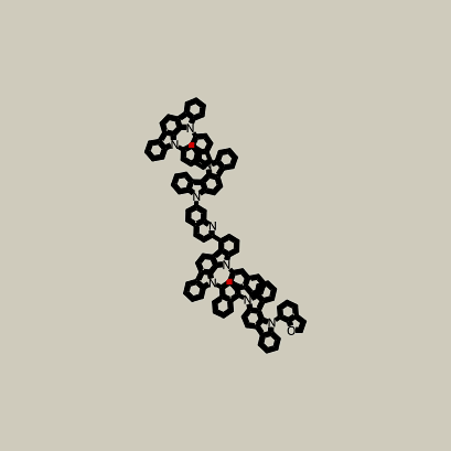 C1=Cc2ccc(-n3c4ccccc4c4ccc5c6ccccc6n(-c6ccc(-n7c8ccccc8c8ccc9c(c%10ccccc%10n9-c9ccc%10ccc(-c%11cccc%12c%11c%11ccc%13c%14ccccc%14n(-c%14ccc(-n%15c%16ccccc%16c%16c%15ccc%15c%17ccccc%17n(-c%17cccc%18ccoc%17%18)c%15%16)c%15ccccc%14%15)c%13c%11n%12-c%11ccc%12ccccc%12c%11)nc%10c9)c87)cc6)c5c43)cc2C1